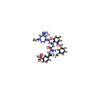 CC(=O)N1CCN(C(=O)CN(CC(=O)NCCc2cccc(S(C)(=O)=O)c2)c2ccccc2OCc2cccc(C(=O)O)c2)CC(N)C1